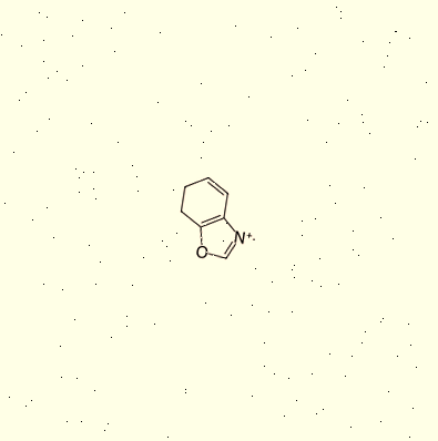 C1=CC2=C(CC1)OC=[N+]2